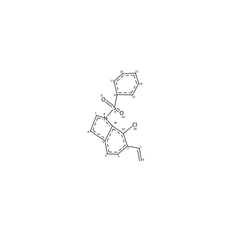 C=Cc1ccc2ccn(S(=O)(=O)c3ccccc3)c2c1Cl